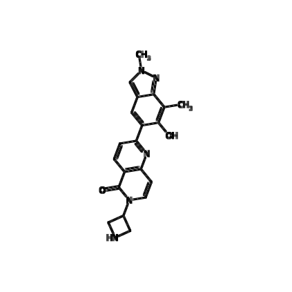 Cc1c(O)c(-c2ccc3c(=O)n(C4CNC4)ccc3n2)cc2cn(C)nc12